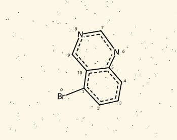 Brc1cccc2ncncc12